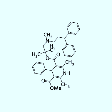 COC(=O)C1=C(C)NC(C)=C(C(=O)OC(C)(C)CN(C)CCC(c2ccccc2)c2ccccc2)C1c1ccccc1